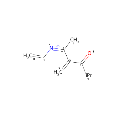 C=C/N=C(/C)C(=C)C(=O)C(C)C